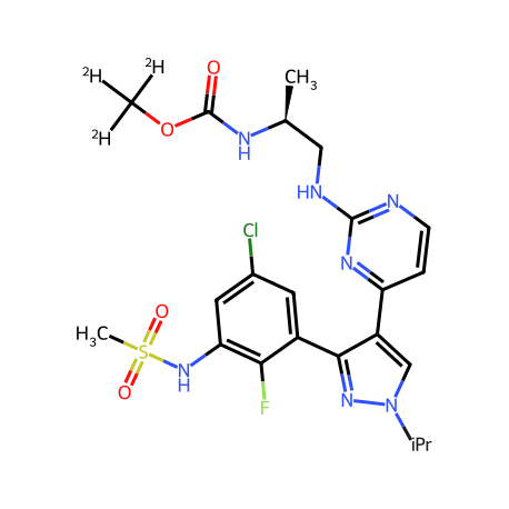 [2H]C([2H])([2H])OC(=O)N[C@@H](C)CNc1nccc(-c2cn(C(C)C)nc2-c2cc(Cl)cc(NS(C)(=O)=O)c2F)n1